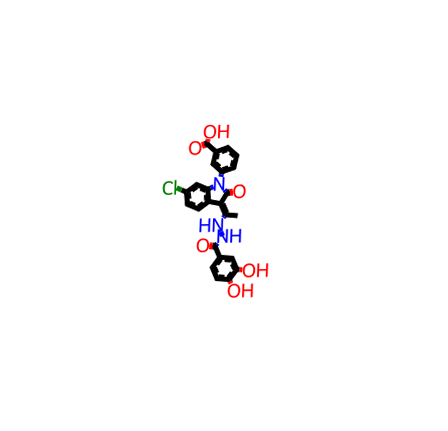 CC(NNC(=O)c1ccc(O)c(O)c1)=C1C(=O)N(c2cccc(C(=O)O)c2)c2cc(Cl)ccc21